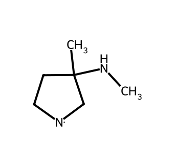 CNC1(C)CC[N]C1